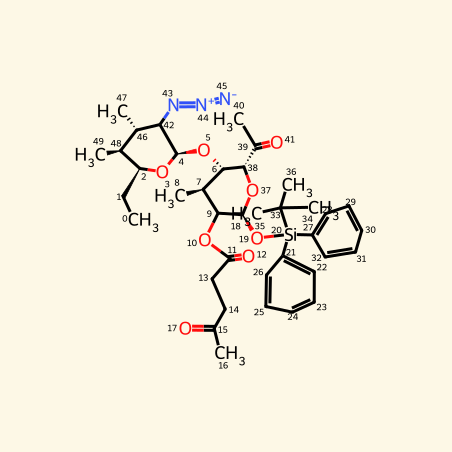 CC[C@@H]1O[C@H](O[C@H]2[C@H](C)C(OC(=O)CCC(C)=O)[C@H](O[Si](c3ccccc3)(c3ccccc3)C(C)(C)C)O[C@H]2C(C)=O)C(N=[N+]=[N-])[C@@H](C)[C@@H]1C